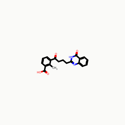 Cc1c(C(=O)O)cccc1C(=O)CCCc1nc2ccccc2c(=O)[nH]1